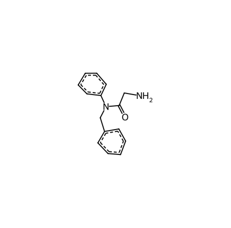 NCC(=O)N(Cc1ccccc1)c1ccccc1